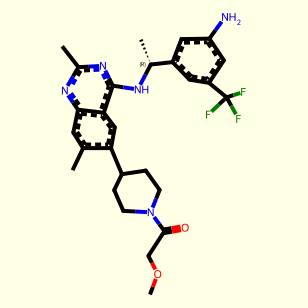 COCC(=O)N1CCC(c2cc3c(N[C@H](C)c4cc(N)cc(C(F)(F)F)c4)nc(C)nc3cc2C)CC1